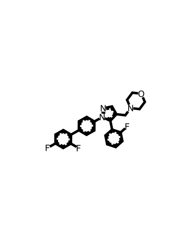 Fc1ccc(-c2ccc(-n3ncc(CN4CCOCC4)c3-c3ccccc3F)cc2)c(F)c1